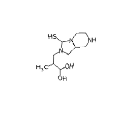 CC(CN1CC2CNCCN2C1S)C(O)O